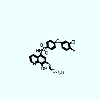 O=C(O)CSc1cc(NS(=O)(=O)c2ccc(Oc3ccc(F)c(Cl)c3)cc2)c2cccnc2c1O